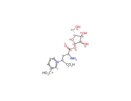 NC(CC(C(=O)O)[n+]1cccc(C(=O)O)c1)C(=O)O[C@H]1O[C@H](CO)[C@@H](O)[C@H]1O